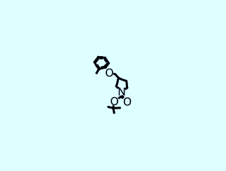 Cc1ccccc1OCC1CCN(C(=O)OC(C)(C)C)C1